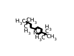 CC(C)(C)/C=C/c1ccc(C(C)(C)C)cn1